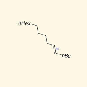 [CH2]CCCCCCCCC/C=C/CCCC